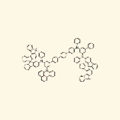 CC1(C)c2ccccc2-c2c1ccc1c2-c2ccccc2C12c1ccccc1-c1ccc(N(c3ccccc3)c3cc(-c4ccccc4)cc(N(c4ccccc4)c4ccc(-c5ccc(-c6ccc(-c7cc(N(c8ccccc8)c8ccc9c(c8)C8(c%10ccccc%10-9)c9ccccc9-c9c8ccc8c9-c9ccccc9C8(C)C)cc(N(c8ccccc8)c8ccccc8-c8ccccc8)c7)cc6)cc5)cc4)c3)cc12